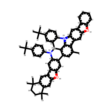 Cc1cc2c3c4c1c1cc5oc6ccccc6c5cc1n4-c1ccc(C(C)(C)C)cc1B3N(c1ccc(C(C)(C)C)cc1)c1cc3c(cc1-2)oc1cc2c(cc13)C(C)(C)CCC2(C)C